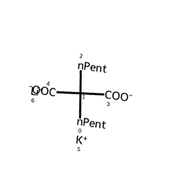 CCCCCC(CCCCC)(C(=O)[O-])C(=O)[O-].[K+].[Li+]